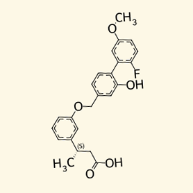 COc1ccc(F)c(-c2ccc(COc3cccc([C@@H](C)CC(=O)O)c3)cc2O)c1